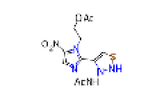 CC(=O)NN1NSC=C1c1ncc([N+](=O)[O-])n1CCOC(C)=O